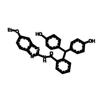 CCOc1ccc2nc(NC(=O)c3ccccc3C(c3ccc(O)cc3)c3ccc(O)cc3)sc2c1